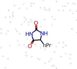 CCCC1NC(=O)NC1=O